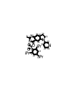 Cc1nc(OS(=O)(=O)c2c(C(C)C)cc(C(C)C)cc2C(C)C)c2cc3c(cc2n1)CCN3c1cccnc1